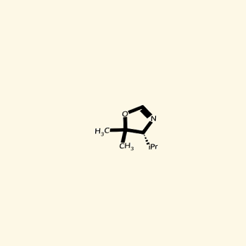 CC(C)[C@H]1N=COC1(C)C